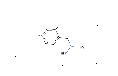 CCCN(CCC)Cc1ccc(C)cc1Cl